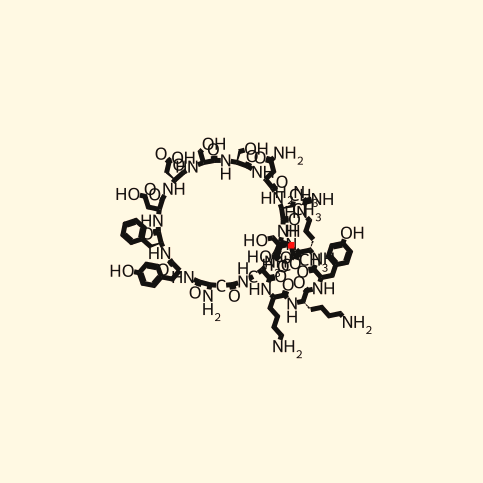 CC(C)CC1NC(=O)[C@H](C(C)C)NC(=O)C(CC(N)=O)NC(=O)[C@H](CO)NC(=O)C(CO)NC(=O)[C@H](CC(=O)O)NC(=O)C(CC(=O)O)NC(=O)[C@H](Cc2ccccc2)NC(=O)C(Cc2ccc(O)cc2)NC(=O)C(N)CC(=O)NCC(C(=O)NC(CCCCN)C(=O)N[C@@H](CCCCN)C(=O)NC(Cc2ccc(O)cc2)C(=O)N[C@@H](CCCNC(=N)N)C(=O)NC(CO)C(=O)O)NC1=O